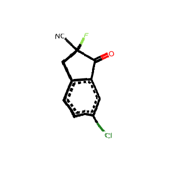 N#CC1(F)Cc2ccc(Cl)cc2C1=O